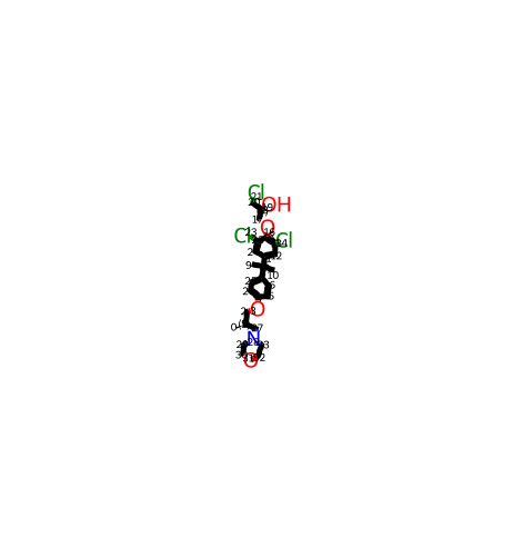 C[C@H](COc1ccc(C(C)(C)c2cc(Cl)c(OC[C@H](O)CCl)c(Cl)c2)cc1)CN1CCOCC1